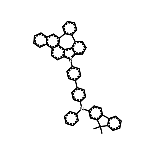 CC1(C)c2ccccc2-c2ccc(N(c3ccccc3)c3ccc(-c4ccc(-n5c6cccc7c6c6c8c(cc9ccccc9c8ccc65)-c5ccccc5-7)cc4)cc3)cc21